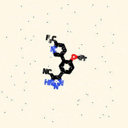 CC(C)Oc1ccc(-c2nn[nH]c2C#N)cc1-c1ccc(C(F)(F)F)nc1